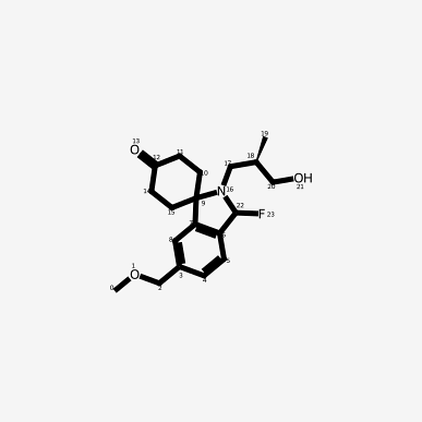 COCc1ccc2c(c1)C1(CCC(=O)CC1)N(C[C@@H](C)CO)C2F